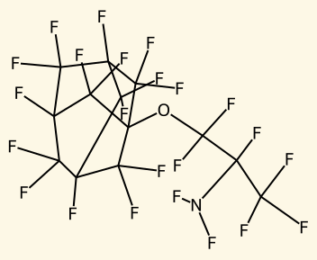 FN(F)C(F)(C(F)(F)F)C(F)(F)OC12C(F)(F)C3(F)C(F)(F)C(F)(C(F)(F)C(F)(C3(F)F)C1(F)F)C2(F)F